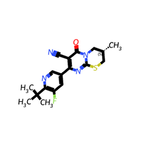 C[C@@H]1CSc2nc(-c3cnc(C(C)(C)C)c(F)c3)c(C#N)c(=O)n2C1